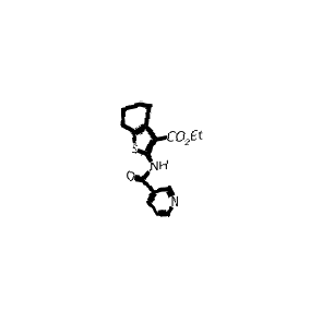 CCOC(=O)c1c(NC(=O)c2cccnc2)sc2c1CCCC2